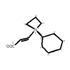 O=C([O-])C=C[N+]1(C2CCCCC2)CCC1